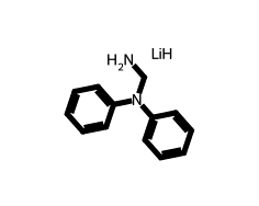 NCN(c1ccccc1)c1ccccc1.[LiH]